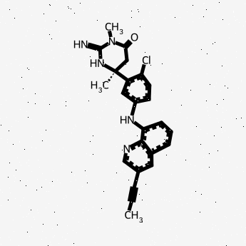 CC#Cc1cnc2c(Nc3ccc(Cl)c([C@]4(C)CC(=O)N(C)C(=N)N4)c3)cccc2c1